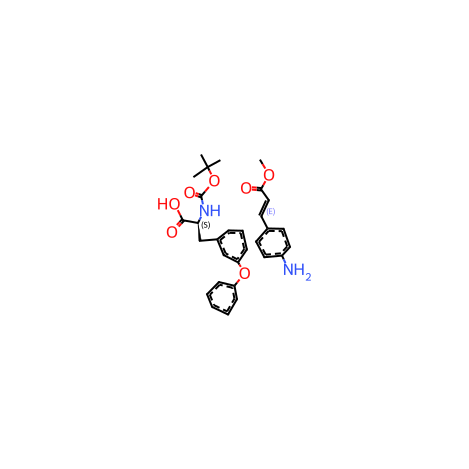 CC(C)(C)OC(=O)N[C@@H](Cc1cccc(Oc2ccccc2)c1)C(=O)O.COC(=O)/C=C/c1ccc(N)cc1